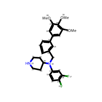 COc1cc(-c2cccc(CN(c3ccc(F)c(F)c3)C3CCNCC3)c2)cc(OC)c1OC